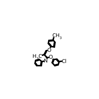 CC(=COc1ccc(C)cc1)C(=Nc1ccccc1)Oc1cccc(Cl)c1